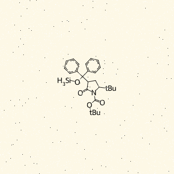 CC(C)(C)OC(=O)N1C(=O)C(C(O[SiH3])(c2ccccc2)c2ccccc2)CC1C(C)(C)C